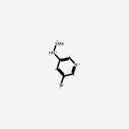 CSNc1cncc(Br)c1